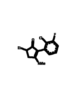 CCC1CC(NC)=C(c2cccc(F)c2Cl)C1=O